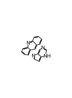 c1cc2[nH]cncc-2n1.c1ccc2nc3ccccc3cc2c1